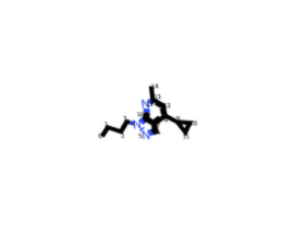 CCCCn1ncc2c(C3CC3)cc(C)nc21